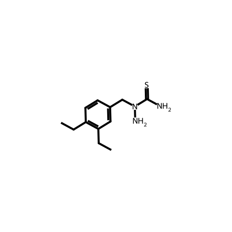 CCc1ccc(CN(N)C(N)=S)cc1CC